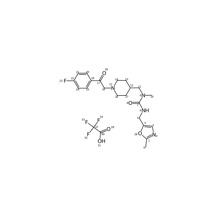 Cc1ncc(CNC(=O)N(C)CC2CCN(CC(=O)c3ccc(F)cc3)CC2)o1.O=C(O)C(F)(F)F